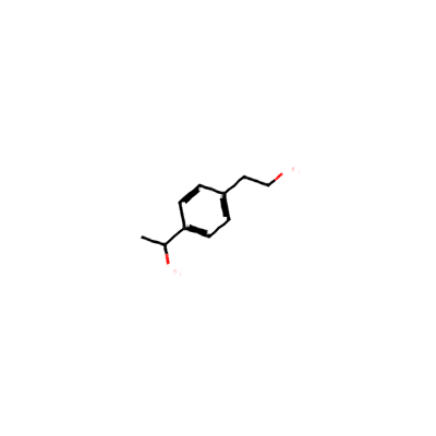 CC(O)c1ccc(CCO)cc1